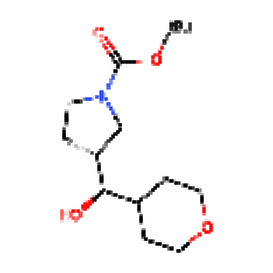 CC(C)(C)OC(=O)N1CC[C@@H]([C@H](O)C2CCOCC2)C1